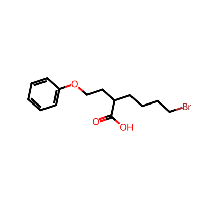 O=C(O)C(CCCCBr)CCOc1ccccc1